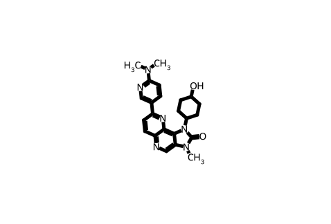 CN(C)c1ccc(-c2ccc3ncc4c(c3n2)n(C2CCC(O)CC2)c(=O)n4C)cn1